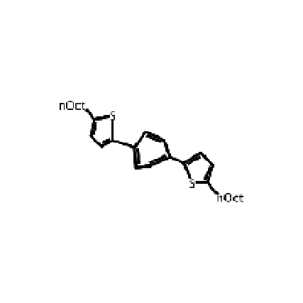 CCCCCCCCc1ccc(-c2ccc(-c3ccc(CCCCCCCC)s3)cc2)s1